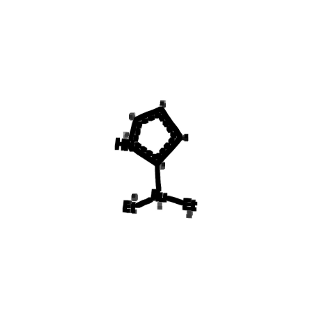 C[CH2][Ru]([CH2]C)[c]1ccc[nH]1